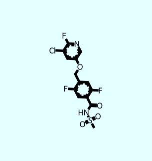 CS(=O)(=O)NC(=O)c1cc(F)c(COc2cnc(F)c(Cl)c2)cc1F